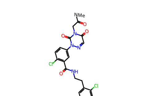 CNC(=O)Cn1c(=O)cnn(-c2ccc(Cl)c(C(=O)NCCc3ccccc3Cl)c2)c1=O